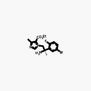 CCOC(=O)c1c(C)ncn1C[C@](C)(N)c1cc(Br)ccc1F